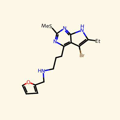 CCc1[nH]c2nc(SC)nc(CCCNCc3ccco3)c2c1Br